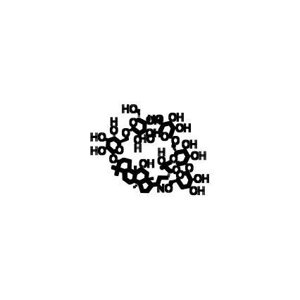 C[C@H](CC[C@@H](O[C@@H]1O[C@H](CO[C@@H]2O[C@H](CO)[C@@H](O)[C@H](O)[C@H]2O)[C@@H](O)[C@H](O)[C@H]1O[C@@H]1O[C@H](CO)C[C@H](O)[C@H]1O)C(C)(C)O)C1CC[C@@]2(C)C3CC=C4C(CC[C@H](O[C@@H]5O[C@H](CO[C@@H]6O[C@H](CO)[C@@H](O)[C@H](O)[C@H]6O)[C@@H](O)[C@H](O)[C@H]5O)C4(C)C)[C@]3(C)[C@H](O)C[C@]12C